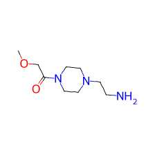 COCC(=O)N1CCN(CCN)CC1